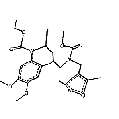 CCOC(=O)N1c2cc(OC)c(OC)cc2C(CN(Cc2c(C)noc2C)C(=O)OC)CC1C